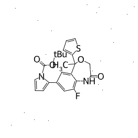 CC(C)(C)OC(=O)n1cccc1-c1cc(F)c2c(c1)C(C)(c1cccs1)OCC(=O)N2